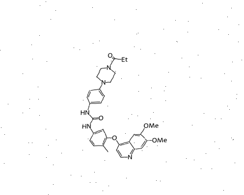 CCC(=O)N1CCN(c2ccc(NC(=O)Nc3ccc(C)c(Oc4ccnc5cc(OC)c(OC)cc45)c3)cc2)CC1